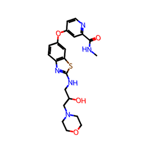 CNC(=O)c1cc(Oc2ccc3nc(NCC(O)CN4CCOCC4)sc3c2)ccn1